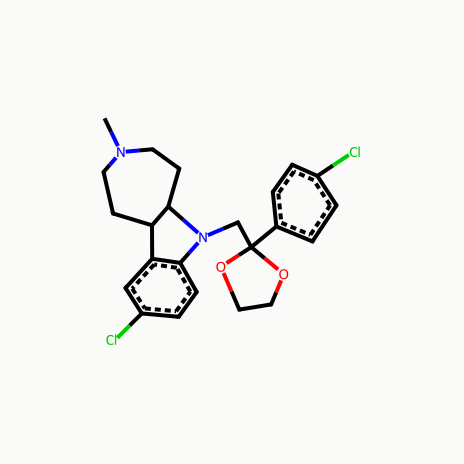 CN1CCC2c3cc(Cl)ccc3N(CC3(c4ccc(Cl)cc4)OCCO3)C2CC1